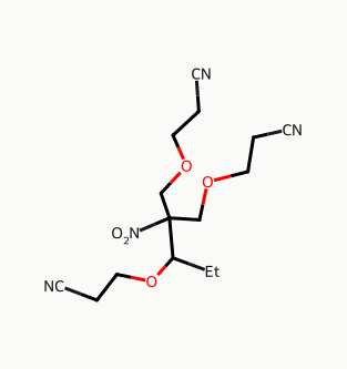 CCC(OCCC#N)C(COCCC#N)(COCCC#N)[N+](=O)[O-]